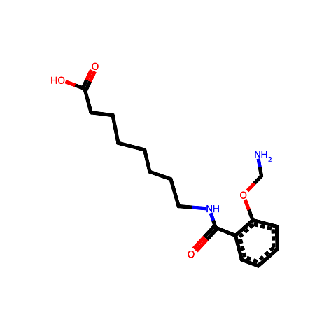 NCOc1ccccc1C(=O)NCCCCCCCC(=O)O